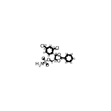 NS(=O)(=O)OC[C@@H]1OC(c2ccccc2)O[C@H]1c1ccc(Cl)cc1Cl